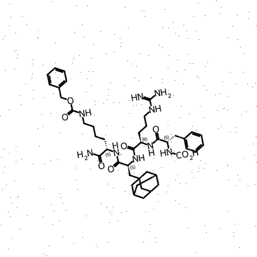 N=C(N)NCCC[C@@H](NC(=O)[C@H](Cc1ccccc1)NC(=O)O)C(=O)N[C@@H](CC12CC3CC(CC(C3)C1)C2)C(=O)N[C@@H](CCCCNC(=O)OCc1ccccc1)C(N)=O